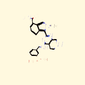 Cn1cc2c(C(N)=O)cccc2c1-c1nc2c(c(NCc3cccc(B(O)O)c3)n1)CCNC2